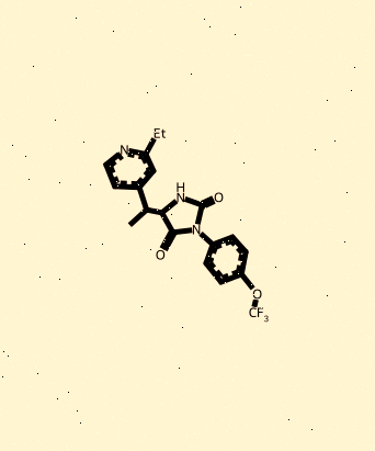 CCc1cc(C(C)C2NC(=O)N(c3ccc(OC(F)(F)F)cc3)C2=O)ccn1